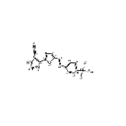 N#Cc1[nH]nnc1-c1ccc(/C=C/c2ccc(C(F)(F)F)cc2)o1